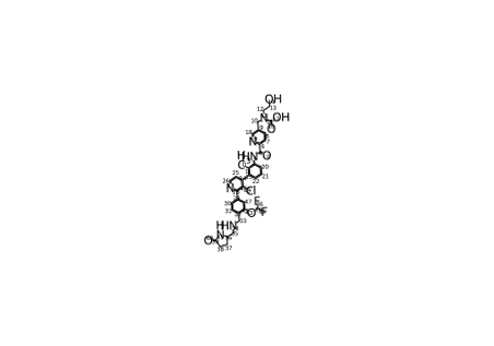 Cc1c(NC(=O)c2ccc(CN(CCO)C(=O)O)cn2)cccc1-c1ccnc(-c2ccc(CNCC3CCC(=O)N3)c(OC(F)F)c2)c1Cl